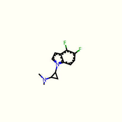 CN(C)C1CC1n1ccc2c(F)c(F)ccc21